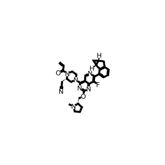 C=CC(=O)N1CCN(c2nc(OC[C@@H]3CCCN3C)nc3c(F)c(-c4cccc5c4[C@@H]4C[C@@H]4C5)ncc23)C[C@@H]1CC#N